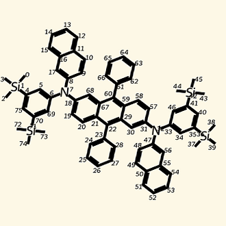 C[Si](C)(C)c1cc(N(c2ccc3ccccc3c2)c2ccc3c(-c4ccccc4)c4cc(N(c5cc([Si](C)(C)C)cc([Si](C)(C)C)c5)c5ccc6ccccc6c5)ccc4c(-c4ccccc4)c3c2)cc([Si](C)(C)C)c1